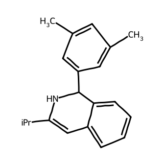 Cc1cc(C)cc(C2NC(C(C)C)=Cc3ccccc32)c1